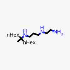 CCCCCCC(C)(CCCCCC)NCCCNCCN